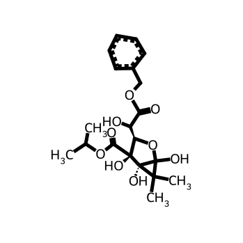 CC(C)OC(=O)[C@]1(O)[C@@H](C(O)C(=O)OCc2ccccc2)OC2(O)C(C)(C)[C@]21O